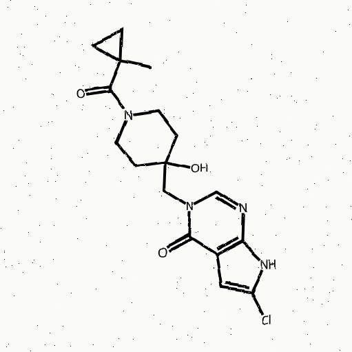 CC1(C(=O)N2CCC(O)(Cn3cnc4[nH]c(Cl)cc4c3=O)CC2)CC1